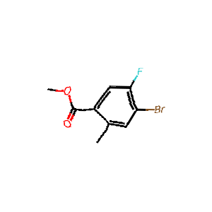 COC(=O)c1cc(F)c(Br)cc1C